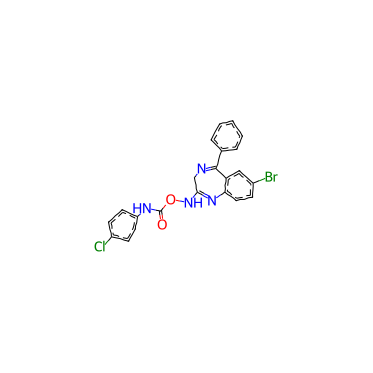 O=C(Nc1ccc(Cl)cc1)ONC1=Nc2ccc(Br)cc2C(c2ccccc2)=NC1